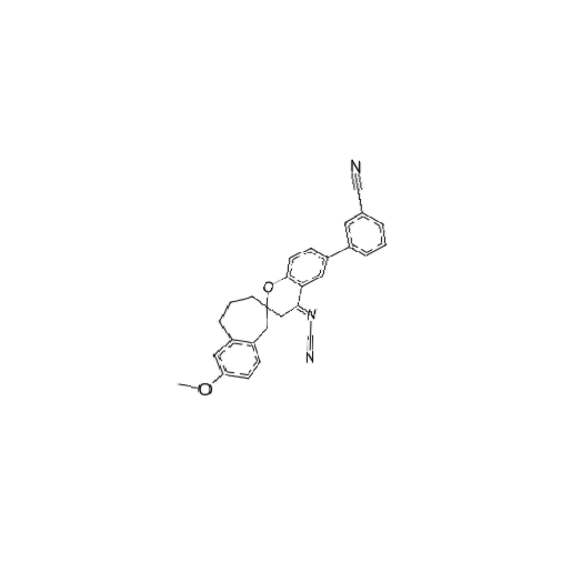 COc1ccc2c(c1)CCCC1(C/C(=N\C#N)c3cc(-c4cccc(C#N)c4)ccc3O1)C2